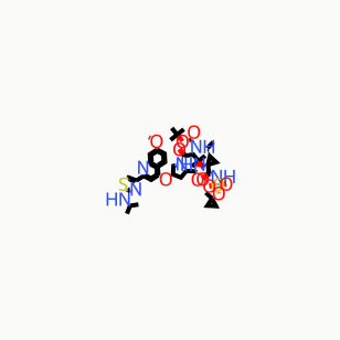 CC[C@@H]1C[C@]1(NC(=O)C1C[C@@H](Oc2cc(-c3csc(NC(C)C)n3)nc3cc(OC)ccc23)CN1C(=O)[C@@H](NC(=O)OC(C)(C)C)C(C)(C)C)C(=O)NS(=O)(=O)OC1(C)CC1